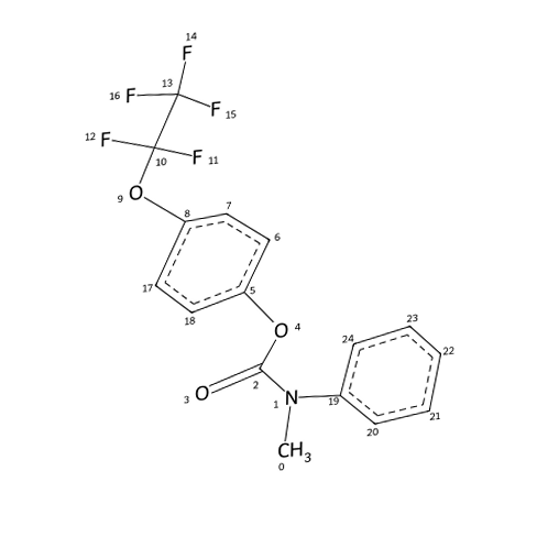 CN(C(=O)Oc1ccc(OC(F)(F)C(F)(F)F)cc1)c1ccccc1